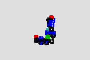 COc1nc(-c2cccc(-c3ccnc(Nc4cccc(CNC[C@H]5CCC(=O)N5)c4F)c3Cl)c2Cl)ccc1CNC[C@H]1CCC(=O)N1